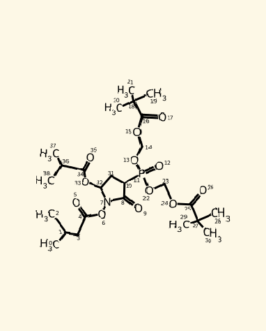 CC(C)CC(=O)ON1C(=O)C(P(=O)(OCOC(=O)C(C)(C)C)OCOC(=O)C(C)(C)C)CC1OC(=O)C(C)C